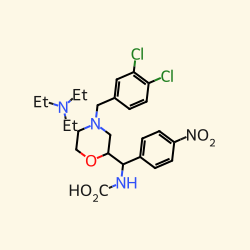 CCN(CC)CC.O=C(O)NC(c1ccc([N+](=O)[O-])cc1)C1CN(Cc2ccc(Cl)c(Cl)c2)CCO1